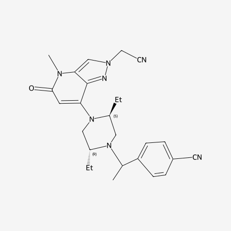 CC[C@H]1CN(C(C)c2ccc(C#N)cc2)[C@H](CC)CN1c1cc(=O)n(C)c2cn(CC#N)nc12